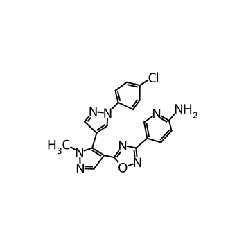 Cn1ncc(-c2nc(-c3ccc(N)nc3)no2)c1-c1cnn(-c2ccc(Cl)cc2)c1